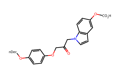 CCCCCCCCCCOc1ccc(OCC(=O)Cn2ccc3cc(OC(=O)O)ccc32)cc1